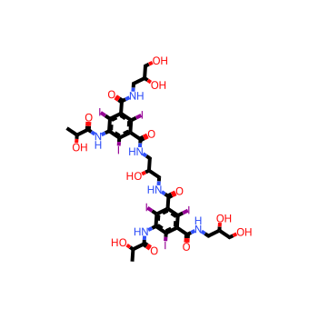 CC(O)C(=O)Nc1c(I)c(C(=O)NCC(O)CO)c(I)c(C(=O)NCC(O)CNC(=O)c2c(I)c(NC(=O)C(C)O)c(I)c(C(=O)NCC(O)CO)c2I)c1I